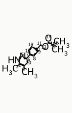 CC1=C(C)NN=C(c2ccc(COC(=O)C(C)C)cc2)C1